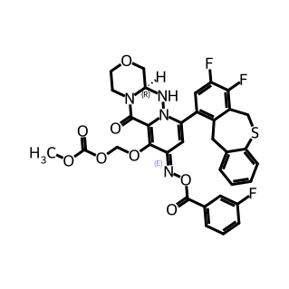 COC(=O)OCOc1c2n(c(-c3cc(F)c(F)c4c3Cc3ccccc3SC4)c/c1=N\OC(=O)c1cccc(F)c1)N[C@@H]1COCCN1C2=O